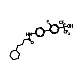 O=C(CCCC1CCCCC1)Nc1ccc(-c2ccc(C(O)(C(F)(F)F)C(F)(F)F)cc2F)cc1